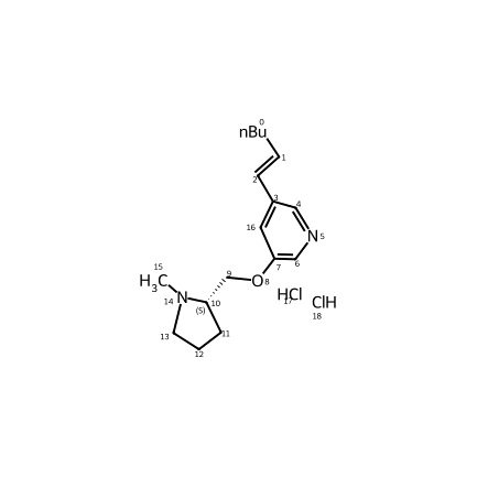 CCCCC=Cc1cncc(OC[C@@H]2CCCN2C)c1.Cl.Cl